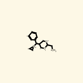 CCC1OCC(C(c2ccccc2)N2CC2)CO1